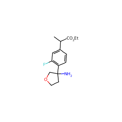 CCOC(=O)C(C)c1ccc(C2(N)CCOC2)c(F)c1